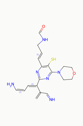 C=C(C=N)/C(=C\C=C/N)c1nc(/C=C/CNC=O)c(S)c(N2CCOCC2)n1